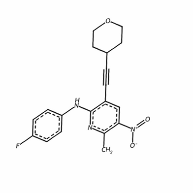 Cc1nc(Nc2ccc(F)cc2)c(C#CC2CCOCC2)cc1[N+](=O)[O-]